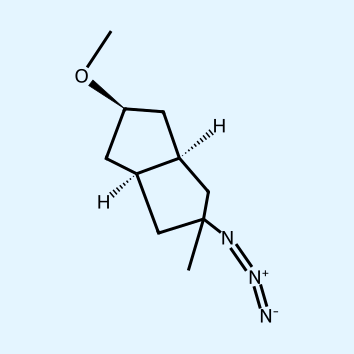 CO[C@@H]1C[C@@H]2CC(C)(N=[N+]=[N-])C[C@@H]2C1